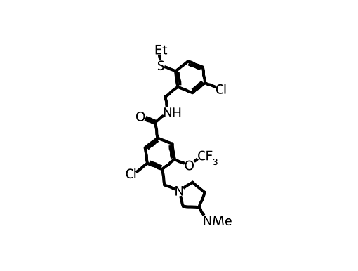 CCSc1ccc(Cl)cc1CNC(=O)c1cc(Cl)c(CN2CCC(NC)C2)c(OC(F)(F)F)c1